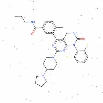 CCCNC(=O)c1ccc(C)c(-c2nc(N3CCC(N4CCCC4)CC3)nc3c2CNC(=O)N3c2c(F)cccc2F)c1